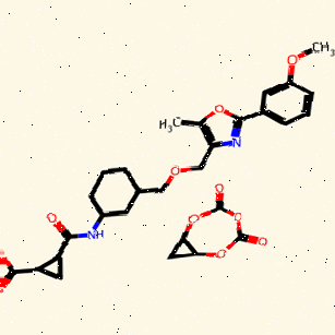 COc1cccc(-c2nc(COCC3CCCC(NC(=O)C4CC4C(=O)O)C3)c(C)o2)c1.O=C1OC(=O)OC2CC2O1